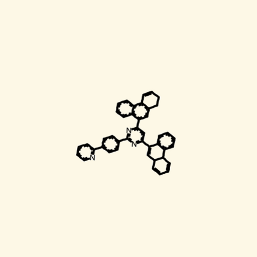 C1=CC2C=C(c3cc(-c4cc5c(c6ccccc46)C=CCC5)nc(-c4ccc(-c5ccccn5)cc4)n3)c3ccccc3C2C=C1